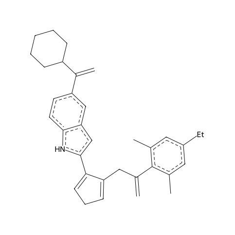 C=C(CC1=CCC=C1c1cc2cc(C(=C)C3CCCCC3)ccc2[nH]1)c1c(C)cc(CC)cc1C